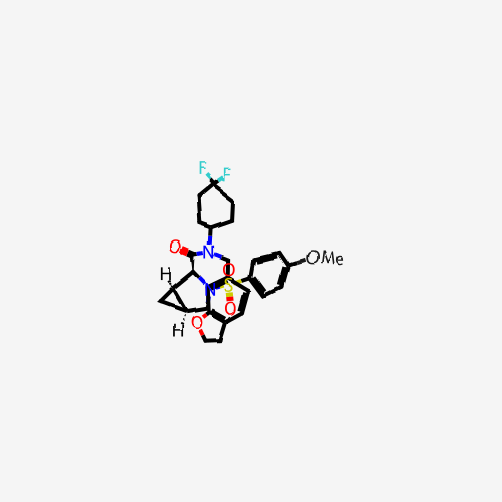 COc1ccc(S(=O)(=O)N2C[C@H]3C[C@H]3[C@H]2C(=O)N(Cc2ccc3c(c2)OCC3)C2CCC(F)(F)CC2)cc1